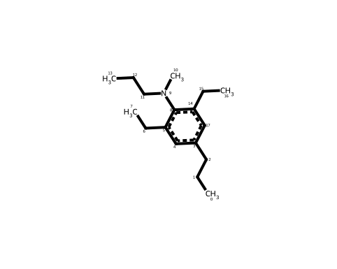 CCCc1cc(CC)c(N(C)CCC)c(CC)c1